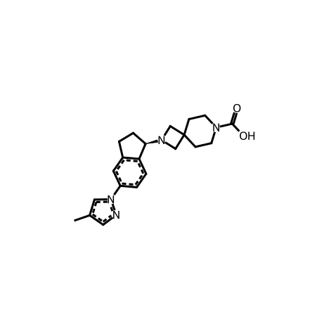 Cc1cnn(-c2ccc3c(c2)CC[C@H]3N2CC3(CCN(C(=O)O)CC3)C2)c1